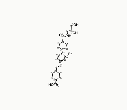 O=C(NC[C@H](O)CO)C1CC=C(c2ccc(OCC3CCN(C(=O)O)CC3)cc2F)CC1